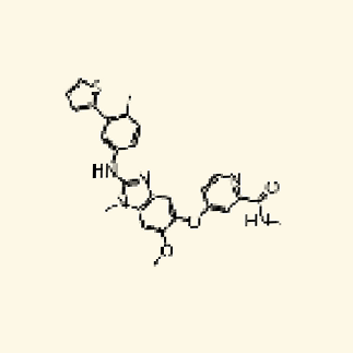 CNC(=O)c1cc(Oc2cc3nc(Nc4ccc(C)c(-c5cccs5)c4)n(C)c3cc2OC)ccn1